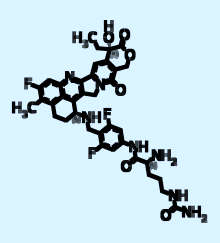 CC[C@@]1(O)C(=O)OCc2c1cc1n(c2=O)Cc2c-1nc1cc(F)c(C)c3c1c2[C@@H](NCc1c(F)cc(NC(=O)[C@@H](N)CCCNC(N)=O)cc1F)CC3